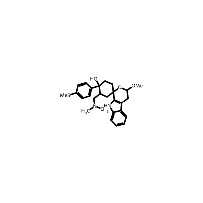 COC1Cc2c([nH]c3ccccc23)C2(CCC(O)(c3ccc(SC)cc3)C(CN(C)C)C2)O1